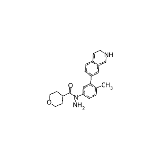 Cc1ccc(N(N)C(=O)C2CCOCC2)cc1-c1ccc2c(c1)=CNCC=2